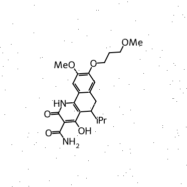 COCCCOc1cc2c(cc1OC)-c1[nH]c(=O)c(C(N)=O)c(O)c1C(C(C)C)C2